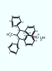 CC(C(c1ccccc1)c1ccccc1)C(c1ccccc1)c1ccccc1.[LiH].[LiH]